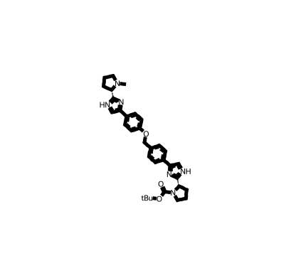 CN1CCC[C@H]1c1nc(-c2ccc(OCc3ccc(-c4c[nH]c([C@@H]5CCCN5C(=O)OC(C)(C)C)n4)cc3)cc2)c[nH]1